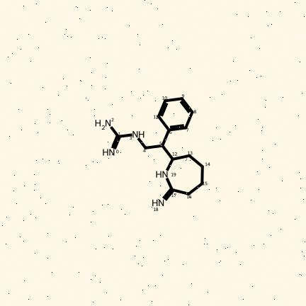 N=C(N)NCC(c1ccccc1)C1CCCCC(=N)N1